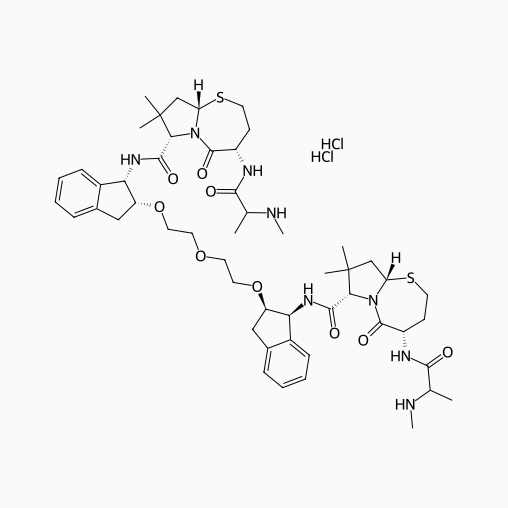 CNC(C)C(=O)N[C@H]1CCS[C@H]2CC(C)(C)[C@@H](C(=O)N[C@H]3c4ccccc4C[C@H]3OCCOCCO[C@@H]3Cc4ccccc4[C@@H]3NC(=O)[C@H]3N4C(=O)[C@@H](NC(=O)C(C)NC)CCS[C@H]4CC3(C)C)N2C1=O.Cl.Cl